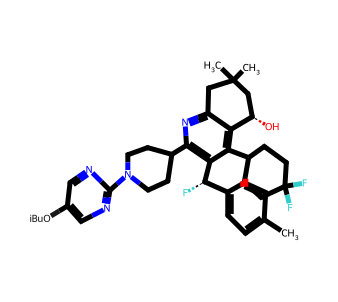 Cc1ccc([C@H](F)c2c(C3CCN(c4ncc(OCC(C)C)cn4)CC3)nc3c(c2C2CCC(F)(F)CC2)[C@@H](O)CC(C)(C)C3)cc1